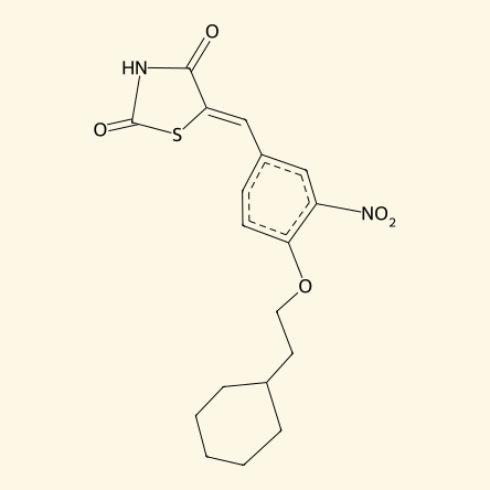 O=C1NC(=O)/C(=C/c2ccc(OCCC3CCCCC3)c([N+](=O)[O-])c2)S1